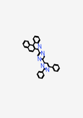 c1ccc(-c2cc(-c3cnc(-c4nc5ccccc5c5c4ccc4ccccc45)cn3)nc(-c3ccccc3)n2)cc1